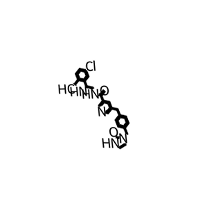 C#Cc1ccc(Cl)cc1C(=N)CNC(=O)c1cncc(Cc2ccc(CN3CCNC3=O)cc2)c1